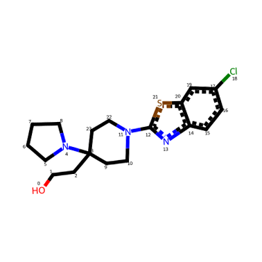 OCCC1(N2CCCC2)CCN(c2nc3ccc(Cl)cc3s2)CC1